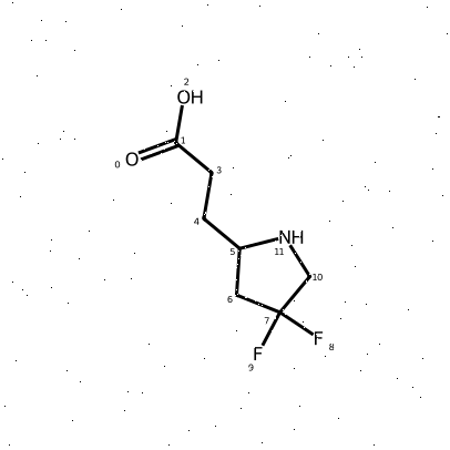 O=C(O)CCC1CC(F)(F)CN1